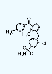 Cc1ccc(C(=O)c2ccc(Cc3ccc(S(N)(=O)=O)cc3Cl)n2C)cc1